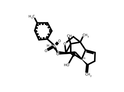 C=C1CC=C2C3(C)COC4(OC)C(O)[C@]12C=C(OS(=O)(=O)c1ccc(C)cc1)C34C